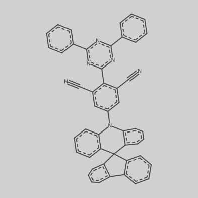 N#Cc1cc(N2c3ccccc3C3(c4ccccc4-c4ccccc43)c3ccccc32)cc(C#N)c1-c1nc(-c2ccccc2)nc(-c2ccccc2)n1